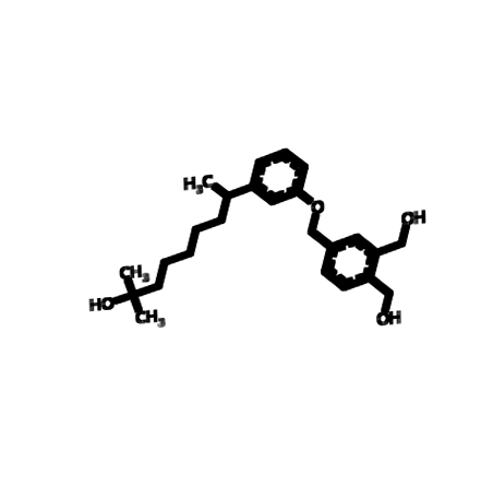 CC(CCCCCC(C)(C)O)c1cccc(OCc2ccc(CO)c(CO)c2)c1